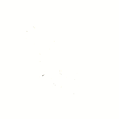 COC(=O)c1cccc2nc([C@@H](C)[C@H]3CC[C@@H](c4c(F)ccc5ncccc54)CC3)[nH]c12